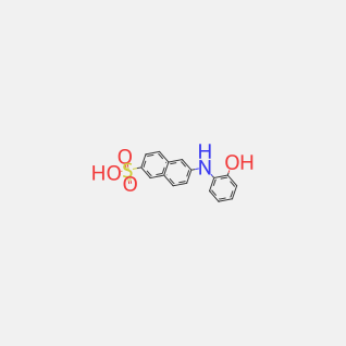 O=S(=O)(O)c1ccc2cc(Nc3ccccc3O)ccc2c1